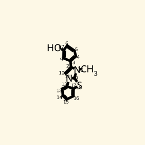 CN1C(c2cccc(O)c2)=CN2c3ccccc3SC12